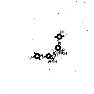 Cc1cc(N=Nc2ccc(NC(=O)Nc3ccc(N=Nc4cc(C)c(N)cc4C)cc3S(=O)(=O)O)c(S(=O)(=O)O)c2)c(C)cc1N